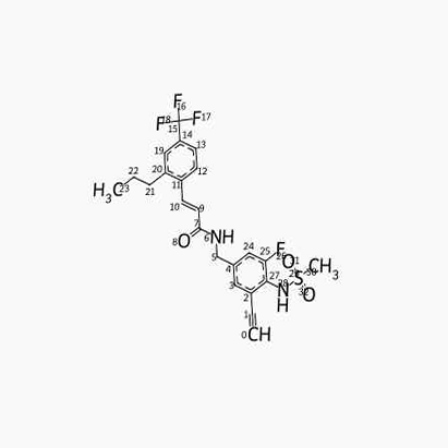 C#Cc1cc(CNC(=O)C=Cc2ccc(C(F)(F)F)cc2CCC)cc(F)c1NS(C)(=O)=O